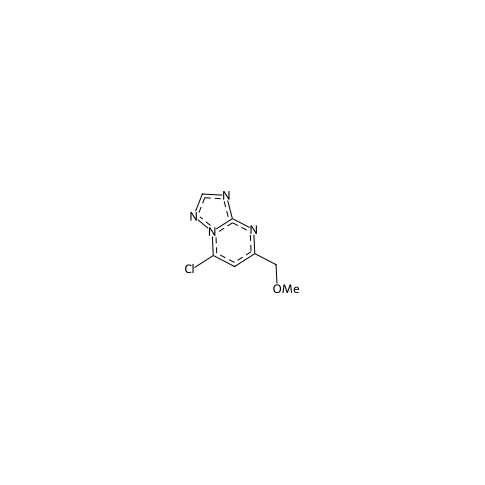 COCc1cc(Cl)n2ncnc2n1